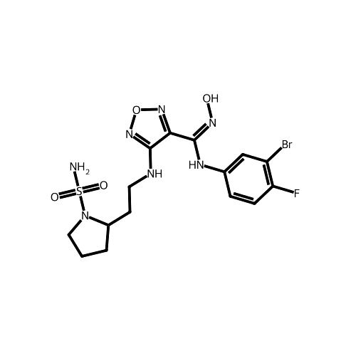 NS(=O)(=O)N1CCCC1CCNc1nonc1C(=NO)Nc1ccc(F)c(Br)c1